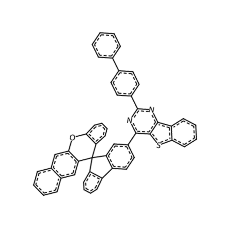 c1ccc(-c2ccc(-c3nc(-c4ccc5c(c4)C4(c6ccccc6Oc6cc7ccccc7cc64)c4ccccc4-5)c4sc5ccccc5c4n3)cc2)cc1